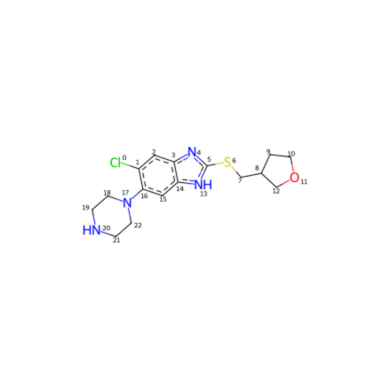 Clc1cc2nc(SCC3CCOC3)[nH]c2cc1N1CCNCC1